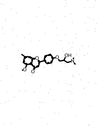 COc1cc(C)cc2oc(-c3ccc(OCC(O)CN(C)C)cc3)cc(=O)c12